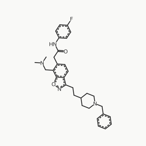 CN(C)Cc1c(CC(=O)Nc2ccc(F)cc2)ccc2c(CCC3CCN(Cc4ccccc4)CC3)noc12